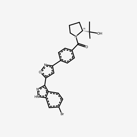 CC(C)(O)[C@H]1CCCN1C(=O)c1ccc(-c2cc(-c3n[nH]c4cc(Br)ccc34)on2)cc1